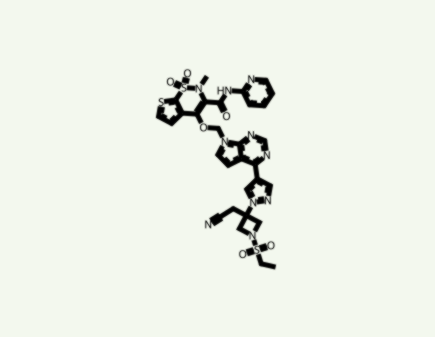 CCS(=O)(=O)N1CC(CC#N)(n2cc(-c3ncnc4c3ccn4COC3=C(C(=O)Nc4ccccn4)N(C)S(=O)(=O)c4sccc43)cn2)C1